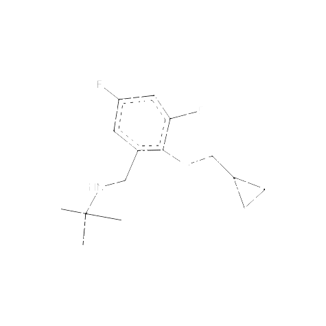 CC(C)(C)NCc1cc(F)cc(F)c1OCC1CC1